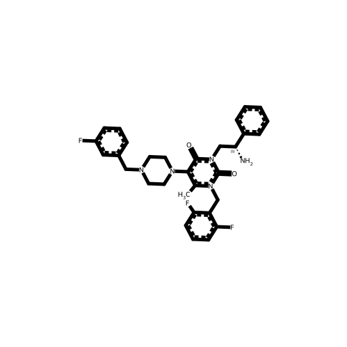 Cc1c(N2CCN(Cc3cccc(F)c3)CC2)c(=O)n(C[C@@H](N)c2ccccc2)c(=O)n1Cc1c(F)cccc1F